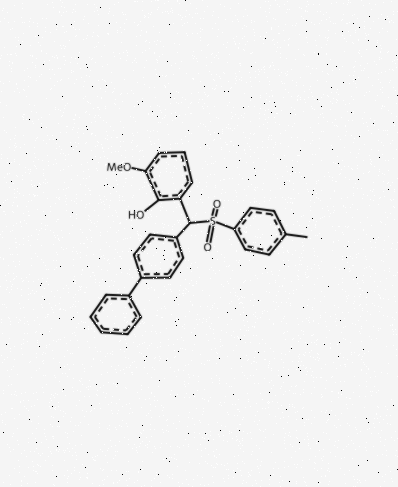 COc1cccc(C(c2ccc(-c3ccccc3)cc2)S(=O)(=O)c2ccc(C)cc2)c1O